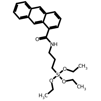 CCO[Si](CCCNC(=O)c1cccc2cc3ccccc3cc12)(OCC)OCC